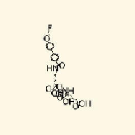 O=C(O)CCC[C@H](NC(=O)O[C@@H](CCCCNC(=O)c1ccc(-c2ccc(OCCF)cc2)cc1)C(=O)O)C(=O)O